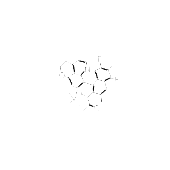 CC(=O)[C@@H](OC(C)(C)C)c1c(C)cc2c(F)c(C)c(F)cc2c1-c1ccc2c3c(ccnc13)CCO2